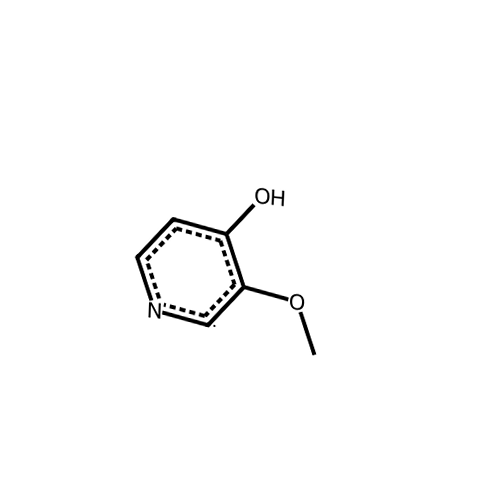 COc1[c]nccc1O